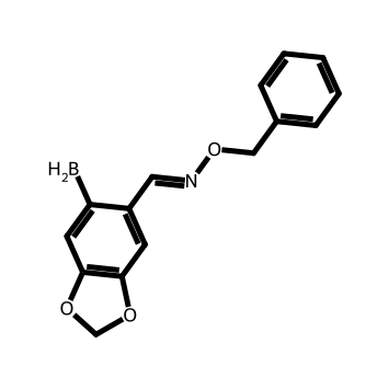 Bc1cc2c(cc1/C=N/OCc1ccccc1)OCO2